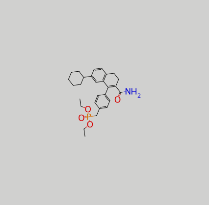 CCOP(=O)(Cc1ccc(C2=C(C(N)=O)CCc3ccc(C4CCCCC4)cc32)cc1)OCC